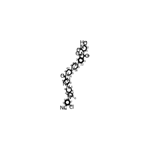 C[C@H]1CC2(CCN(c3cnc(C(=O)N4CCC(N5CCN(c6ccc7c(c6)C(=O)N(C6CCC(=O)NC6=O)C7=O)CC5)CC4)cn3)CC2)CN1c1ccc(C#N)c(Cl)c1